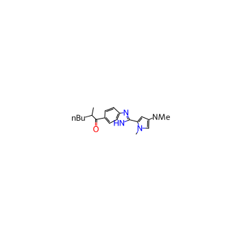 CCCCC(C)C(=O)c1ccc2nc(-c3cc(NC)cn3C)[nH]c2c1